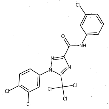 O=C(Nc1cccc(Cl)c1)c1nc(C(Cl)(Cl)Cl)n(-c2ccc(Cl)c(Cl)c2)n1